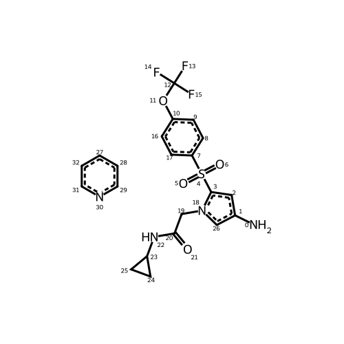 Nc1cc(S(=O)(=O)c2ccc(OC(F)(F)F)cc2)n(CC(=O)NC2CC2)c1.c1ccncc1